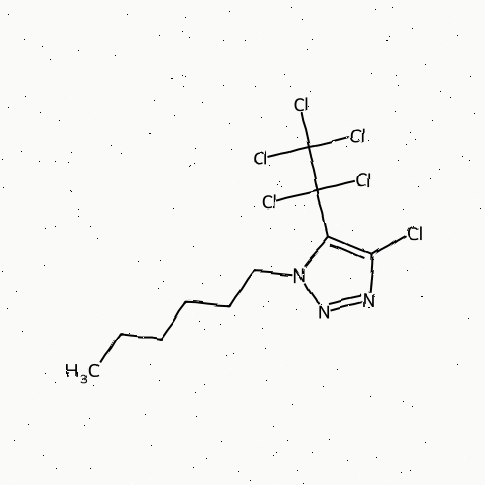 CCCCCCn1nnc(Cl)c1C(Cl)(Cl)C(Cl)(Cl)Cl